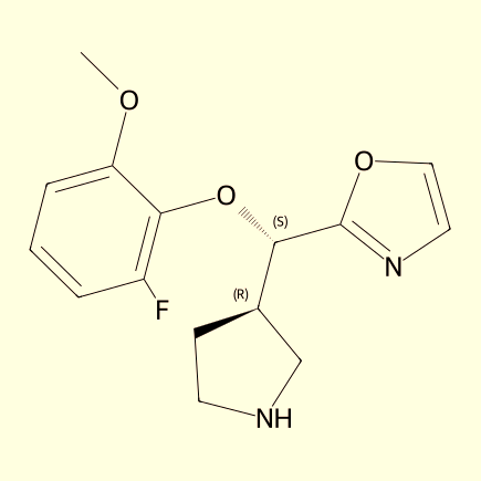 COc1cccc(F)c1O[C@H](c1ncco1)[C@@H]1CCNC1